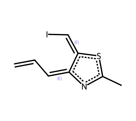 C=C/C=c1/nc(C)s/c1=C/I